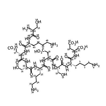 NCCCC[C@H](NC(=O)[C@H](CO)NC(=O)[C@H](CC(=O)O)NC(=O)[C@H](CCCCN)NC(=O)[C@H](CO)NC(=O)[C@H](CC(=O)O)NC(=O)[C@H](CCCCN)NC(=O)[C@@H](N)CO)C(=O)N[C@@H](CC(=O)O)C(=O)O